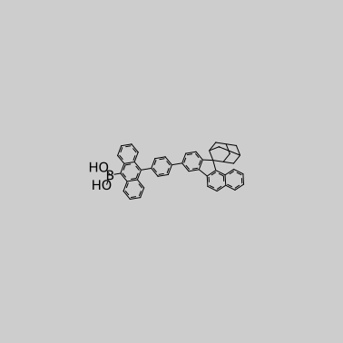 OB(O)c1c2ccccc2c(-c2ccc(-c3ccc4c(c3)-c3ccc5ccccc5c3C43C4CC5CC(C4)CC3C5)cc2)c2ccccc12